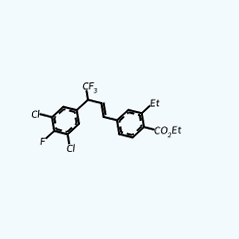 CCOC(=O)c1ccc(/C=C/C(c2cc(Cl)c(F)c(Cl)c2)C(F)(F)F)cc1CC